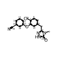 Cn1c(Cc2ccc(Cl)c(Oc3cccc(C#N)c3)c2)n[nH]c1=O